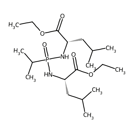 CCOC(=O)[C@H](CC(C)C)NP(=O)(N[C@@H](CC(C)C)C(=O)OCC)C(C)C